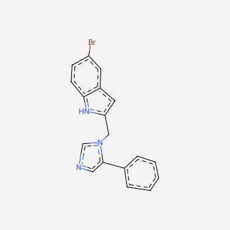 Brc1ccc2[nH]c(Cn3cncc3-c3ccccc3)cc2c1